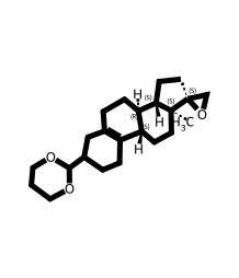 C[C@]12CC[C@@H]3C4=C(CC[C@H]3[C@@H]1CC[C@@]21CO1)CC(C1OCCCO1)CC4